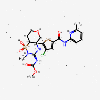 Cc1cccc(NC(=O)c2cc(Cl)c([C@]34COCCC3S(=O)(=O)N(C)/C(=N\C(=O)OC(C)(C)C)N4)s2)n1